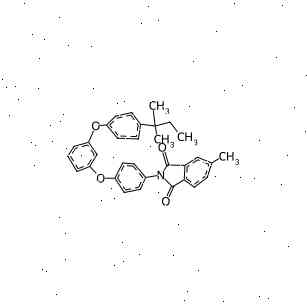 CCC(C)(C)c1ccc(Oc2cccc(Oc3ccc(N4C(=O)c5ccc(C)cc5C4=O)cc3)c2)cc1